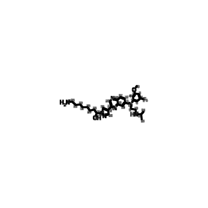 COc1cc(F)cc(N(CCNC(C)C)c2ccc3ncc(-c4cnn(C(O)CCCCCCCN)c4)nc3c2)c1